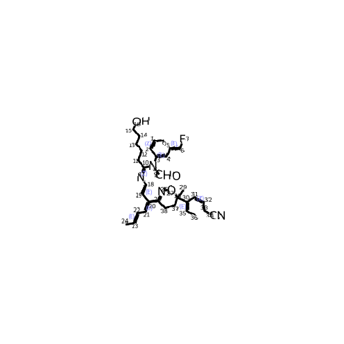 C\C=C/C(=C\C=C\F)N(C=O)\C(CCCCCO)=N/C=C/C(=C\C=C\C)C1=NOC(C)(C(/C=C\CC#N)=C/C)CC1